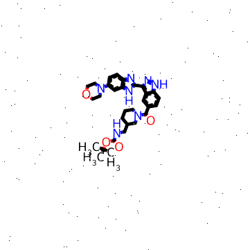 CC(C)(C)OC(=O)NCC1CCCN(C(=O)c2ccc3[nH]nc(-c4nc5ccc(N6CCOCC6)cc5[nH]4)c3c2)C1